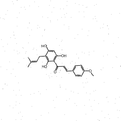 COc1ccc(/C=C/C(=O)c2c(O)cc(O)c(CC=C(C)C)c2O)cc1